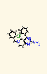 Nc1nc2c(c(-c3ccccc3Cl)n1)CN(Cc1ccccc1)CC2